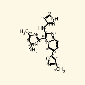 Cc1cc(-c2ccc3nc(Nc4cc[nH]n4)c(-c4nc(C)nc(N)n4)n3c2)on1